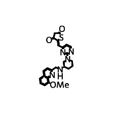 COc1cccc2ccc(CN[C@@H]3CCCN(c4nccc(/C=C5\SC(=O)CC5=O)n4)C3)nc12